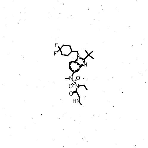 CCN(C(=O)CNC)S(=O)(=O)N(C)c1ccc2c(c1)nc(C(C)(C)C)n2CC1CCC(F)(F)CC1